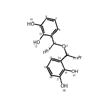 CCCC(OC(CCC)c1cccc(O)c1O)c1cccc(O)c1O